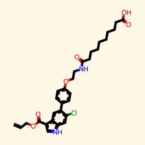 C=CCOC(=O)c1c[nH]c2cc(Cl)c(-c3ccc(OCCNC(=O)CCCCCCCCC(=O)O)cc3)cc12